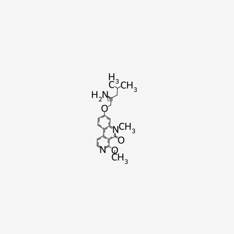 COc1nccc2c1c(=O)n(C)c1cc(OC[C@@H](N)CC(C)C)ccc21